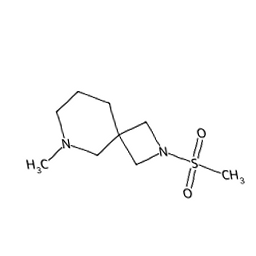 CN1CCCC2(C1)CN(S(C)(=O)=O)C2